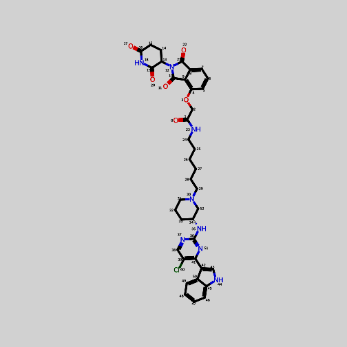 O=C(COc1cccc2c1C(=O)N(C1CCC(=O)NC1=O)C2=O)NCCCCCCN1CCC[C@@H](Nc2ncc(Cl)c(-c3c[nH]c4ccccc34)n2)C1